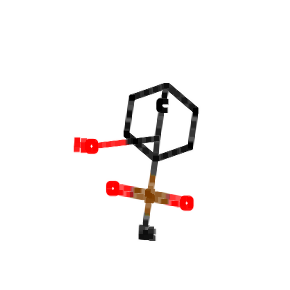 CCS(=O)(=O)C12CCC(CC1)CC2O